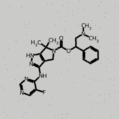 CN(C)CC(OC(=O)N1Cc2c(Nc3ncncc3F)n[nH]c2C1(C)C)c1ccccc1